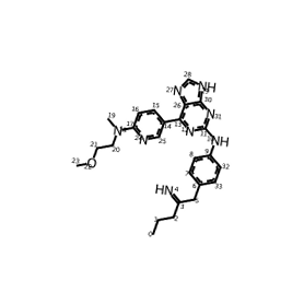 CCCC(=N)Cc1ccc(Nc2nc(-c3ccc(N(C)CCOC)nc3)c3nc[nH]c3n2)cc1